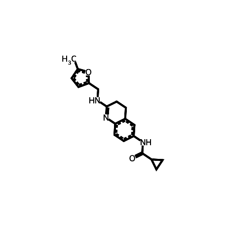 Cc1ccc(CNC2=Nc3ccc(NC(=O)C4CC4)cc3CC2)o1